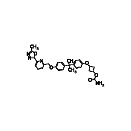 Cc1nnc(-c2cccc(COc3ccc(C(C)(C)c4ccc(OC5CC(OC(N)=O)C5)cc4)cc3)n2)o1